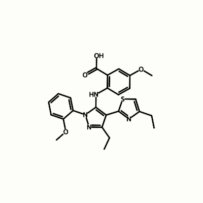 CCc1csc(-c2c(CC)nn(-c3ccccc3OC)c2Nc2ccc(OC)cc2C(=O)O)n1